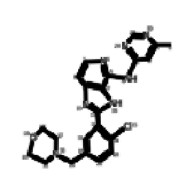 Cc1cc(Nc2nccc3nc(-c4cc(CN5CCOCC5)ccc4Cl)[nH]c23)ncn1